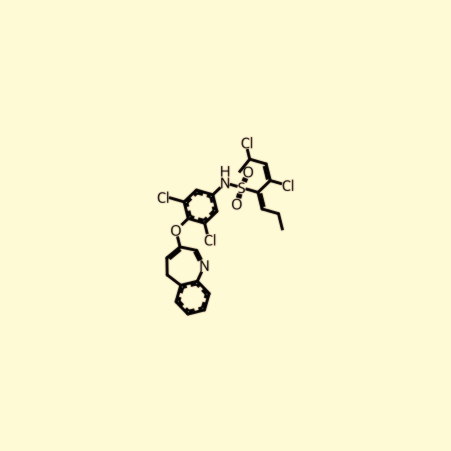 CC/C=C(\C(Cl)=C/C(C)Cl)S(=O)(=O)Nc1cc(Cl)c(OC2=CCc3ccccc3N=C2)c(Cl)c1